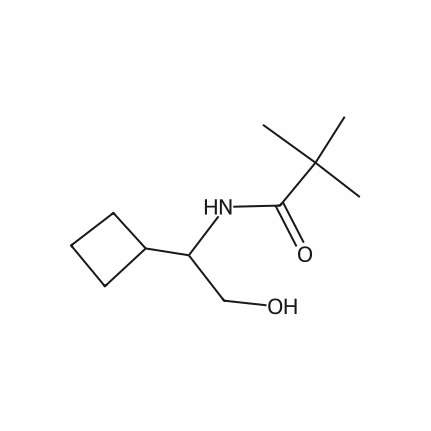 CC(C)(C)C(=O)NC(CO)C1CCC1